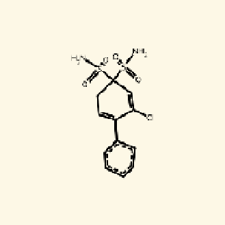 NS(=O)(=O)C1(S(N)(=O)=O)C=C(Cl)C(c2ccccc2)=CC1